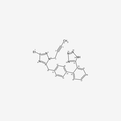 CC#CCn1nc(CC)nc1Cc1ccc(-c2ccccc2-c2nnn[nH]2)cc1